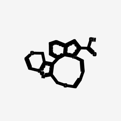 O=C(O)c1cc2cccc3c2n1/C=C\C=C/OCc1nn2c(c1-3)COC=C2